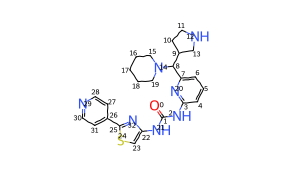 O=C(Nc1cccc(C(C2CCNC2)N2CCCCC2)n1)Nc1csc(-c2ccncc2)n1